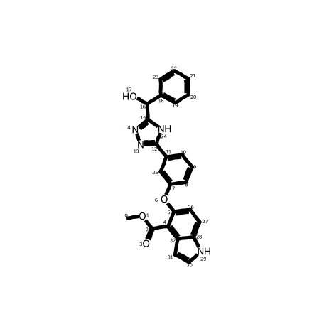 COC(=O)c1c(Oc2cccc(-c3nnc(C(O)c4ccccc4)[nH]3)c2)ccc2[nH]ccc12